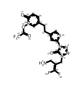 NCC(Cn1nnn(-c2cc(CCc3ccc(=O)n(OC(=O)C(F)(F)F)c3)cs2)c1=O)=C(F)F